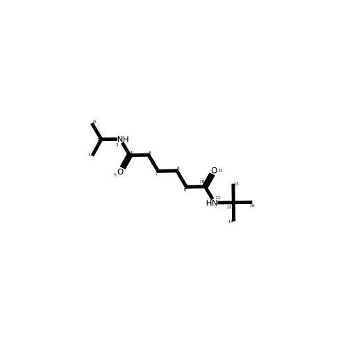 CC(C)NC(=O)CCCCC(=O)NC(C)(C)C